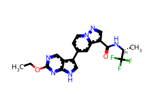 CCOc1ncc2c(-c3ccn4ncc(C(=O)N[C@H](C)C(F)(F)F)c4c3)c[nH]c2n1